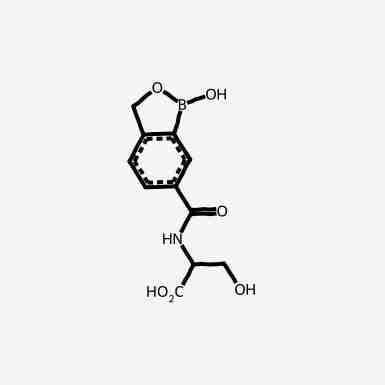 O=C(NC(CO)C(=O)O)c1ccc2c(c1)B(O)OC2